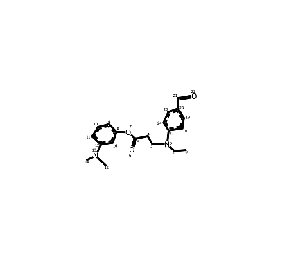 CCN(CCC(=O)Oc1cccc(N(C)C)c1)c1ccc(C=O)cc1